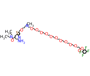 CCCN(CCC)C(=O)C1=Cc2sc(COCCCN(C)CCOCCOCCOCCOCCOCCOCCOCCOCCOCCOCCC(=O)Oc3c(F)c(F)cc(F)c3F)cc2N=C(N)C1